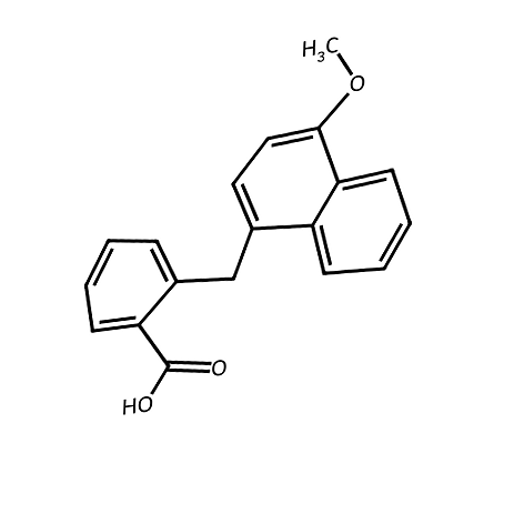 COc1ccc(Cc2ccccc2C(=O)O)c2ccccc12